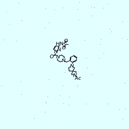 CC(=O)N1CC2(CCN(c3ccccc3CN3CCN(C(=O)n4ccc(NS(C)(=O)=O)n4)CC3)C2)C1